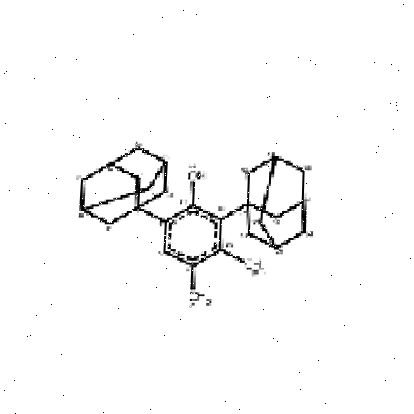 Cc1cc(C23CC4CC(CC(C4)C2)C3)c(O)c(C23CC4CC(CC(C4)C2)C3)c1C